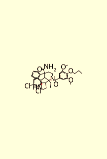 CCCOc1c(OC)cc(C(=O)N2CCC(C(N)=O)(c3ccccc3)C(c3ccc(Cl)c(Cl)c3)C2(CC)C2CCNC2)cc1OC